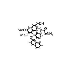 COc1cc2cc(CO)c(COC(=O)CN)c(-c3ccnc(-n4c(=O)ccc5ccccc54)c3)c2cc1OC